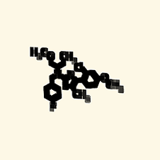 CCC(COC)N(Cc1ccc(F)cc1)c1nc(-c2ccc(OC)cc2Cl)c(C)s1